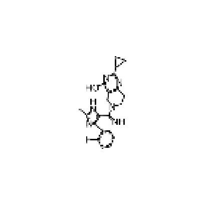 Cc1nc(-c2ccccc2F)c(C(=N)N2CCc3nc(C4CC4)nc(O)c3C2)[nH]1